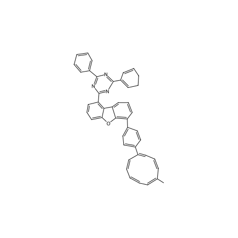 Cc1cccccc(-c2ccc(-c3cccc4c3oc3cccc(-c5nc(C6=CCCC=C6)nc(-c6ccccc6)n5)c34)cc2)ccc1